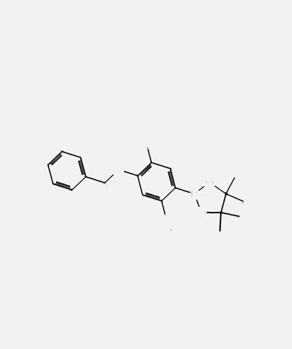 CCc1cc(B2OC(C)(C)C(C)(C)O2)c(F)cc1OCc1ccccc1